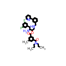 CCCN(CCC)C(=O)c1cc(C)cc(C(=O)OC(CNCc2cccc(-c3ccccn3)c2)C(N)Cc2cc(F)cc(F)c2)c1